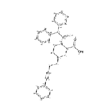 O=C(O)C1CN(CCC#Cc2ccccc2)CCN1C(=O)C(c1ccccc1)c1ccccc1